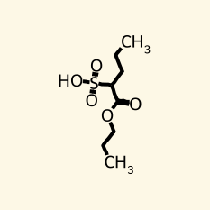 CCCOC(=O)C(CCC)S(=O)(=O)O